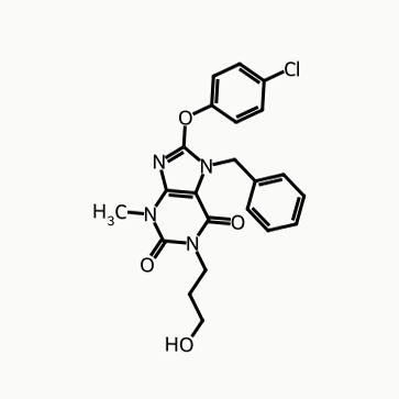 Cn1c(=O)n(CCCO)c(=O)c2c1nc(Oc1ccc(Cl)cc1)n2Cc1ccccc1